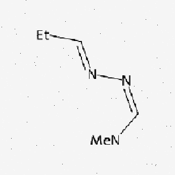 CC/C=N/N=C\NC